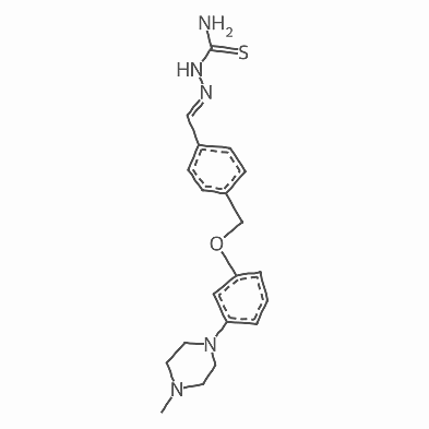 CN1CCN(c2cccc(OCc3ccc(C=NNC(N)=S)cc3)c2)CC1